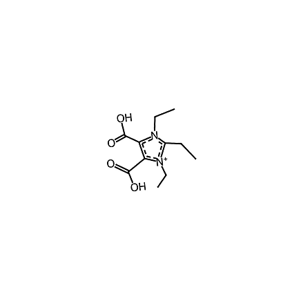 CCc1n(CC)c(C(=O)O)c(C(=O)O)[n+]1CC